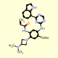 C=CC(=O)Nc1cc(Nc2ncnc(-c3cccc4cc[nH]c34)n2)c(OC)cc1N1CC(N(C)C)C1